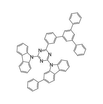 c1ccc(-c2cc(-c3ccccc3)cc(-c3cccc(-c4nc(-n5c6ccccc6c6ccccc65)nc(-n5c6ccccc6c6ccc(-c7ccccc7)cc65)n4)c3)c2)cc1